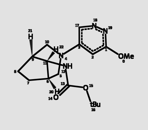 COc1cc(N2C[C@H]3CC[C@@H](C2)[C@H]3NC(=O)OC(C)(C)C)cnn1